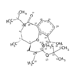 CC(C)N1C[C@@H](C)[C@H](CN(C)C(=O)OC(C)(C)C)Oc2c(C(=O)O)cccc2C1=O